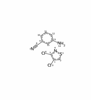 Clc1csnc1Cl.N#Cc1cccc(N)c1